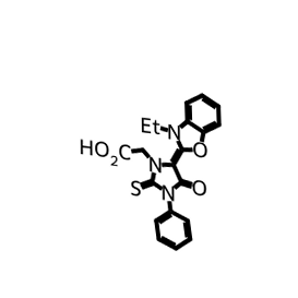 CCN1C(=C2C(=O)N(c3ccccc3)C(=S)N2CC(=O)O)Oc2ccccc21